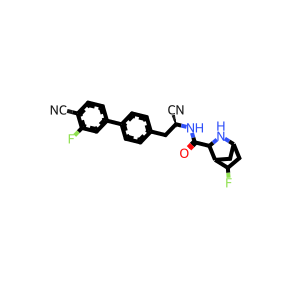 N#Cc1ccc(-c2ccc(C[C@@H](C#N)NC(=O)C3NC4CC(F)C3C4)cc2)cc1F